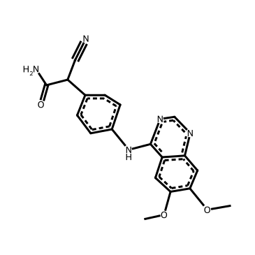 COc1cc2ncnc(Nc3ccc(C(C#N)C(N)=O)cc3)c2cc1OC